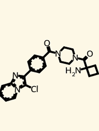 NC1(C(=O)N2CCN(C(=O)c3ccc(-c4nc5ccccn5c4Cl)cc3)CC2)CCC1